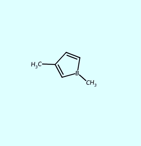 CB1C=CC(C)=C1